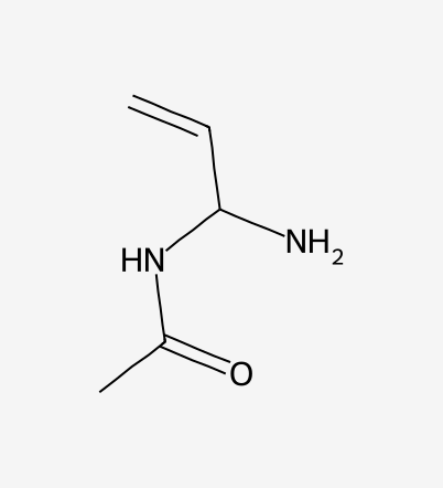 C=CC(N)NC(C)=O